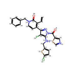 C=Cc1c(-c2nn(C(=O)c3cncs3)c(NCc3ccc(Cl)s3)c2F)ccn(Cc2ccccc2)c1=O